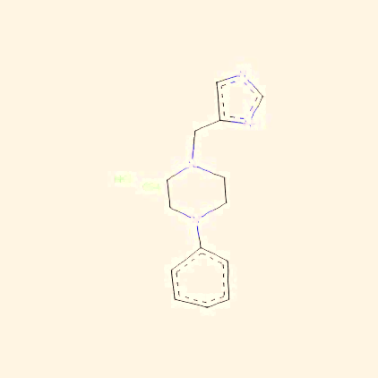 Cl.Cl.c1ccc(N2CCN(Cc3cnc[nH]3)CC2)cc1